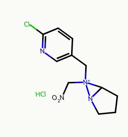 Cl.O=[N+]([O-])C[N+]1(Cc2ccc(Cl)nc2)C2CCCN21